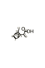 CC(C(=O)O)C1C2C=CC(C2)C1C